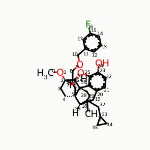 CO[C@]12CC[C@@]3(C[C@@H]1COCc1cccc(F)c1)[C@H]1Cc4ccc(O)c5c4[C@@]3(CCC1(C)CC1CC1)[C@H]2O5